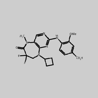 COc1cc(C(=O)O)ccc1Nc1ncc2c(n1)N(C1CCC1)CC(F)(F)C(=O)N2C